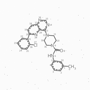 Cc1cccc(NC(=O)N2CCN(c3ncnc4ccc(-c5ccccc5Cl)nc34)CC2)c1